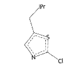 CC(C)Cc1cnc(Cl)s1